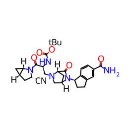 CC(C)(C)OC(=O)N[C@@H](CN1C[C@@H]2C[C@H]1C(=O)N2[C@@H]1CCc2cc(C(N)=O)ccc21)C(=O)N1[C@H](C#N)C[C@@H]2C[C@@H]21